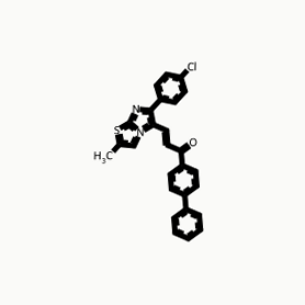 Cc1cn2c(C=CC(=O)c3ccc(-c4ccccc4)cc3)c(-c3ccc(Cl)cc3)nc2s1